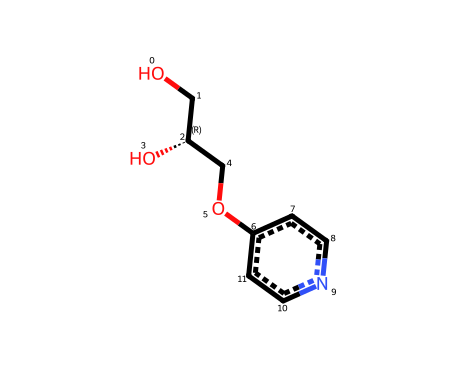 OC[C@@H](O)COc1ccncc1